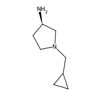 N[C@@H]1CCN(CC2CC2)C1